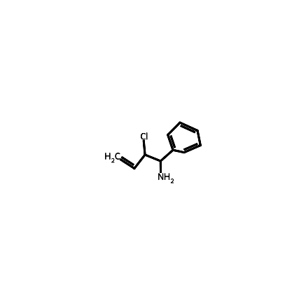 C=CC(Cl)C(N)c1ccccc1